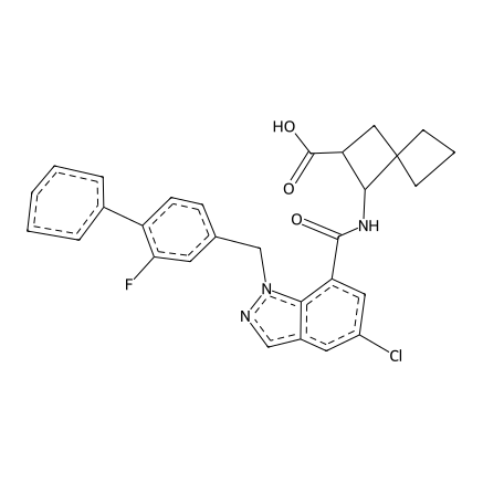 O=C(NC1C(C(=O)O)CC12CCC2)c1cc(Cl)cc2cnn(Cc3ccc(-c4ccccc4)c(F)c3)c12